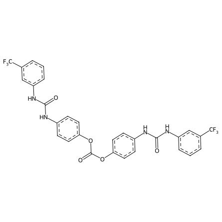 O=C(Nc1ccc(OC(=O)Oc2ccc(NC(=O)Nc3cccc(C(F)(F)F)c3)cc2)cc1)Nc1cccc(C(F)(F)F)c1